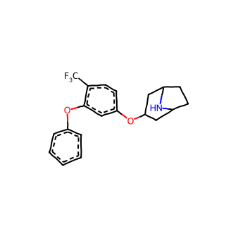 FC(F)(F)c1ccc(OC2CC3CCC(C2)N3)cc1Oc1ccccc1